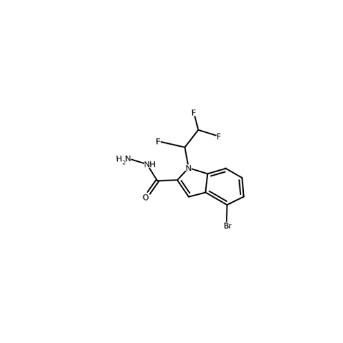 NNC(=O)c1cc2c(Br)cccc2n1C(F)C(F)F